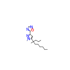 CCCCCCC(C)(CCC)c1cc(-c2ncno2)nn1C